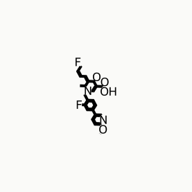 COc1ccc(-c2ccc(CN3C=C(C(=O)O)C(=O)/C(=C/C=C\CF)C3C)c(F)c2)cn1